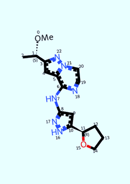 CO[C@@H](C)c1cc2c(Nc3cc([C@H]4C[CH]CO4)[nH]n3)nccn2n1